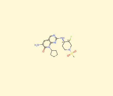 CS(=O)(=O)N1CC[C@@H](Nc2ncc3cc(N)c(=O)n(C4CCCC4)c3n2)[C@@H](F)C1